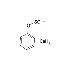 O=S(=O)(O)Oc1ccccc1.[CaH2]